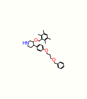 Cc1cc(C)c(C)c(COC2CNCCC2c2ccc(OCCCOCc3ccccc3)cc2)c1C